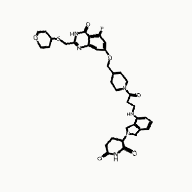 O=C1CCC(N2Cc3cccc(NCCC(=O)N4CCC(COc5cc(F)c6c(=O)[nH]c(CSC7CCOCC7)nc6c5)CC4)c3C2)C(=O)N1